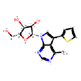 Cc1ncnc2c1c(-c1cccs1)cn2[C@@H]1O[C@H](CO)[C@@H](O)[C@H]1O